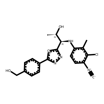 [C-]#[N+]c1ccc(N[C@@H](c2nnc(-c3ccc(CO)cc3)o2)[C@H](C)O)c(C)c1Cl